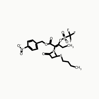 CCCCSC1CC(=O)N1/C(C(=O)OCc1ccc([N+](=O)[O-])cc1)=C(\CC)OS(=O)(=O)C(F)(F)F